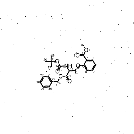 COC(=O)c1ccccc1OCC(NC(=O)OC(C)(C)C)C(=O)OCc1ccccc1